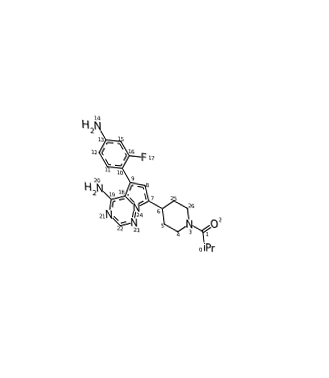 CC(C)C(=O)N1CCC(c2cc(-c3ccc(N)cc3F)c3c(N)ncnn23)CC1